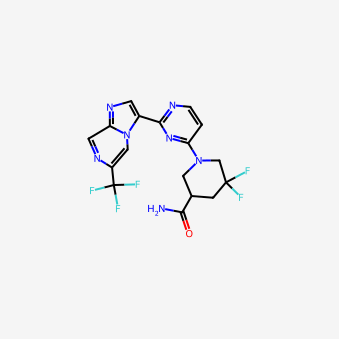 NC(=O)C1CN(c2ccnc(-c3cnc4cnc(C(F)(F)F)cn34)n2)CC(F)(F)C1